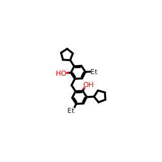 CCc1cc(Cc2cc(CC)cc(C3CCCC3)c2O)c(O)c(C2CCCC2)c1